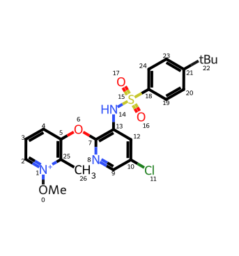 CO[n+]1cccc(Oc2ncc(Cl)cc2NS(=O)(=O)c2ccc(C(C)(C)C)cc2)c1C